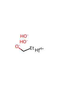 CCC[O-].[Hf+4].[OH-].[OH-]